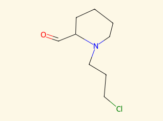 O=CC1CCCCN1CCCCl